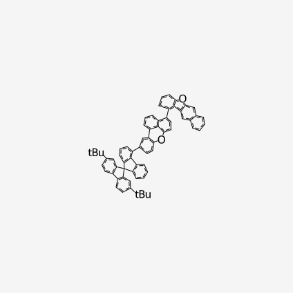 CC(C)(C)c1ccc2c(c1)C1(c3cc(C(C)(C)C)ccc3-2)c2ccccc2-c2c(-c3ccc4c(c3)-c3cccc5c(-c6cccc7oc8cc9ccccc9cc8c67)ccc(c35)O4)cccc21